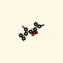 N#Cc1ccc2c(c1)c1ccccc1n2-c1ccc2c(c1)Oc1cc(-n3c4ccc(C#N)cc4c4cc(-n5c6ccccc6c6ccccc65)ccc43)ccc1C21c2cccnc2-c2ncccc21